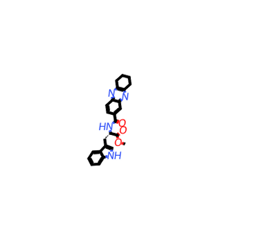 COC(=O)[C@H](Cc1c[nH]c2ccccc12)NC(=O)c1ccc2nc3c(nc2c1)CCCC3